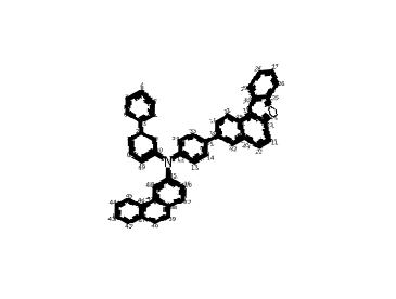 C1=CC(c2ccccc2)CC(N(c2ccc(-c3ccc4c(ccc5oc6ccccc6c54)c3)cc2)c2ccc3ccc4ccccc4c3c2)=C1